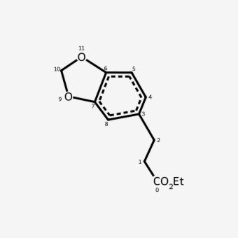 CCOC(=O)CCc1ccc2c(c1)OCO2